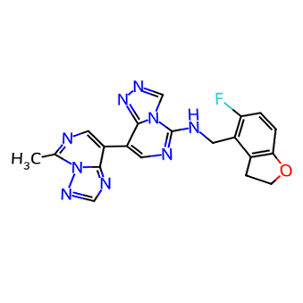 Cc1ncc(-c2cnc(NCc3c(F)ccc4c3CCO4)n3cnnc23)c2ncnn12